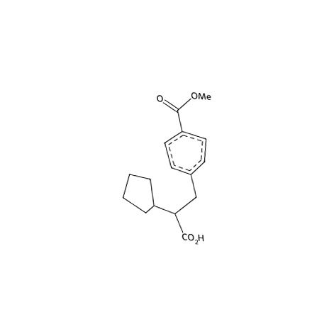 COC(=O)c1ccc(CC(C(=O)O)C2CCCC2)cc1